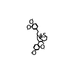 CCC(CN(CCc1ccc(OC)c(OC)c1)C1(C)SCCCS1)c1ccc(OC)cc1OC